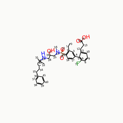 CCc1cc(-c2c(F)cccc2CCC(=O)O)ccc1S(=O)(=O)N(C)CC(O)CNC(C)(C)CCCc1ccccc1